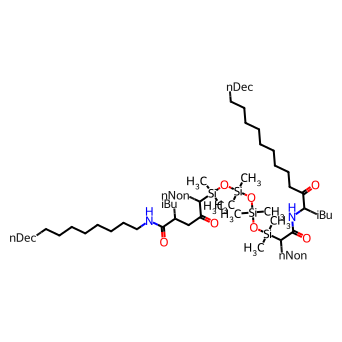 CCCCCCCCCCCCCCCCCCCC(=O)C(NC(=O)C(CCCCCCCCC)[Si](C)(C)O[Si](C)(C)O[Si](C)(C)O[Si](C)(C)C(CCCCCCCCC)C(=O)CC(C(=O)NCCCCCCCCCCCCCCCCCC)C(C)CC)C(C)CC